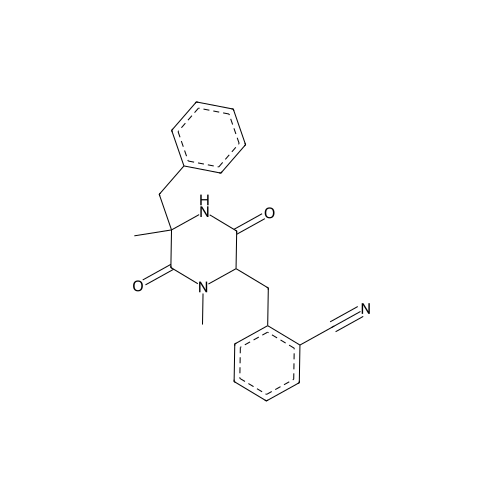 CN1C(=O)C(C)(Cc2ccccc2)NC(=O)C1Cc1ccccc1C#N